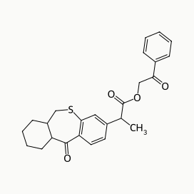 CC(C(=O)OCC(=O)c1ccccc1)c1ccc2c(c1)SCC1CCCCC1C2=O